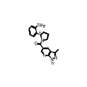 CSc1ccccc1[C@H]1CCCN1C(=O)c1cnc2[nH]nc(C)c2c1